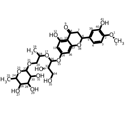 COc1ccc(C2CC(=O)c3c(O)cc(OC(OC(C)COC4OC(C)C(O)C(O)C4O)[C@@H](O)CO)cc3O2)cc1O